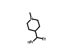 CCCC(CC)C1CCN(C)CC1